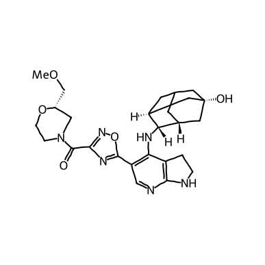 COC[C@@H]1CN(C(=O)c2noc(-c3cnc4c(c3N[C@H]3[C@@H]5CC6C[C@H]3C[C@@](O)(C6)C5)CCN4)n2)CCO1